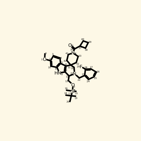 COc1ccc2c3c([nH]c2c1)C(CO[Si](C)(C)C(C)(C)C)N(Cc1ccccc1F)CC31CCN(C(=O)C2CCC2)CC1